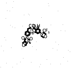 Cc1cc(N2CCOCC2C(F)(F)F)cc(F)c1C(=O)NC(Cc1ccc(-n2c(=O)c3c(n(C)c2=O)COC3)cc1)C(=O)O